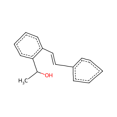 CC(O)c1ccccc1C=Cc1ccccc1